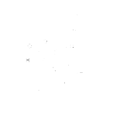 CC1CC[C@H]2C(=O)CC[C@@H]1N2C(=O)OC(C)(C)C